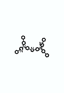 Cn1c(-c2ccc(N(c3ccc(-c4ccccc4)cc3)c3ccc(-c4ccccc4)nc3)cc2)ccc1-c1ccc(N(c2ccc(-c3ccccc3)cc2)c2ccc(-c3ccccc3)nc2)cc1